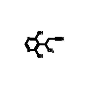 CC(CC#N)c1c(O)ncnc1O